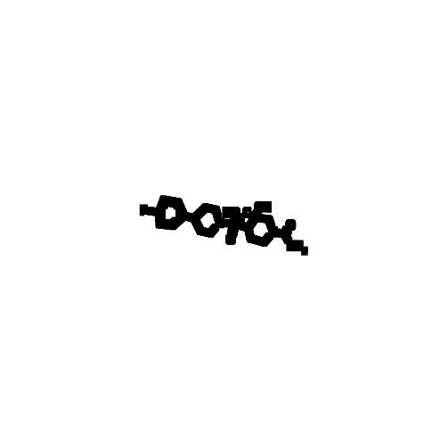 NC(=O)N1CCC(S(=O)(=O)N2CCC(c3ccc(F)cc3)CC2)C(O)(C(=O)O)C1